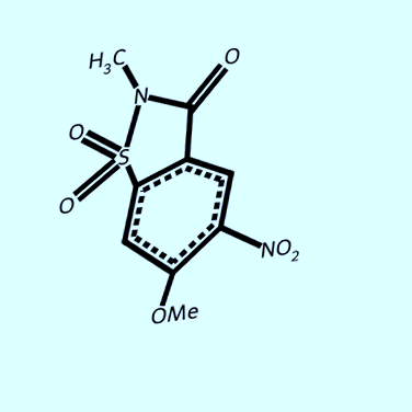 COc1cc2c(cc1[N+](=O)[O-])C(=O)N(C)S2(=O)=O